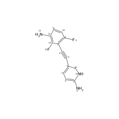 NC1=CC=C(C#Cc2c(F)ccc(N)c2F)CN1